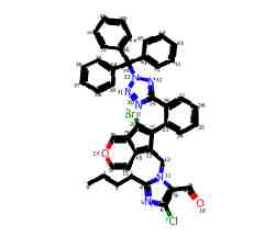 CCCCc1nc(Cl)c(C=O)n1Cc1c2ccocc-2c(Br)c1-c1ccccc1-c1nnn(C(c2ccccc2)(c2ccccc2)c2ccccc2)n1